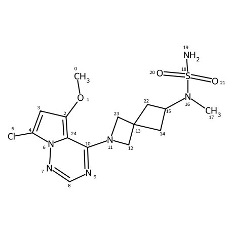 COc1cc(Cl)n2ncnc(N3CC4(CC(N(C)S(N)(=O)=O)C4)C3)c12